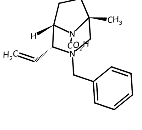 C=C[C@@H]1[C@@H]2CC[C@](C)(CN1Cc1ccccc1)N2C(=O)O